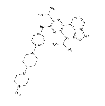 CC(C)Nc1nc(Nc2ccc(N3CCC(N4CCN(C)CC4)CC3)cc2)c(C(N)O)nc1-c1cccc2[nH]cnc12